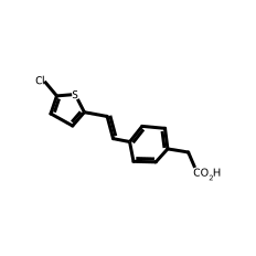 O=C(O)Cc1ccc(C=Cc2ccc(Cl)s2)cc1